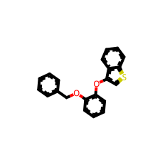 c1ccc(COc2ccccc2Oc2csc3ccccc23)cc1